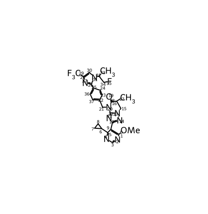 COc1ncnc(C2CC2)c1-c1nc2n(n1)CC(C)C(=O)N2Cc1ccc(-c2nc(C(F)(F)F)cn2C(C)CF)cc1